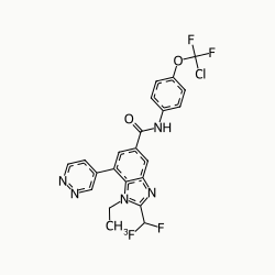 CCn1c(C(F)F)nc2cc(C(=O)Nc3ccc(OC(F)(F)Cl)cc3)cc(-c3ccnnc3)c21